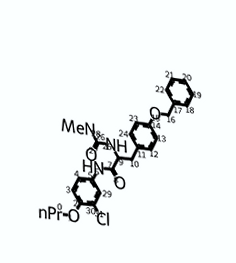 CCCOc1ccc(NC(=O)C(Cc2ccc(OCc3ccccc3)cc2)NC(=O)NC)cc1Cl